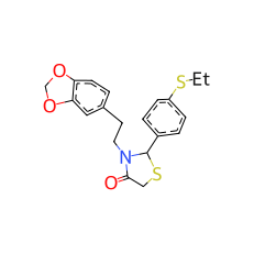 CCSc1ccc(C2SCC(=O)N2CCc2ccc3c(c2)OCO3)cc1